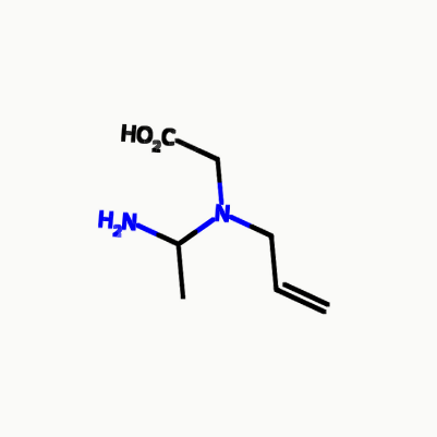 C=CCN(CC(=O)O)C(C)N